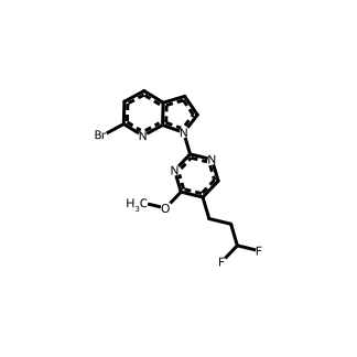 COc1nc(-n2ccc3ccc(Br)nc32)ncc1CCC(F)F